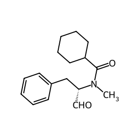 CN(C(=O)C1CCCCC1)[C@H](C=O)Cc1ccccc1